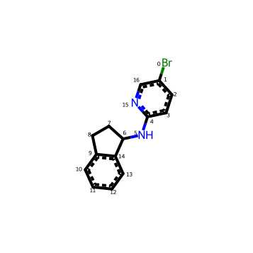 Brc1ccc(NC2CCc3ccccc32)nc1